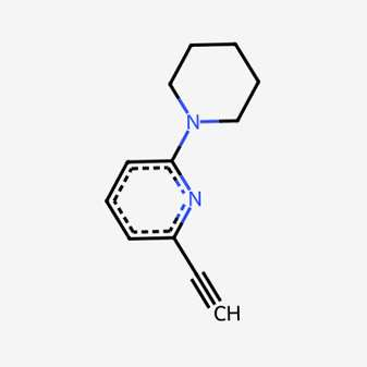 C#Cc1cccc(N2CCCCC2)n1